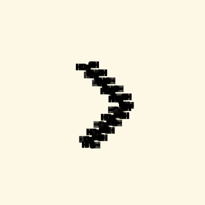 I.OB(O)O.OB(O)O.OB(O)O.OB(O)O.OB(O)O.OB(O)O.OB(O)O.OB(O)O.OB(O)O.OB(O)O.[LiH]